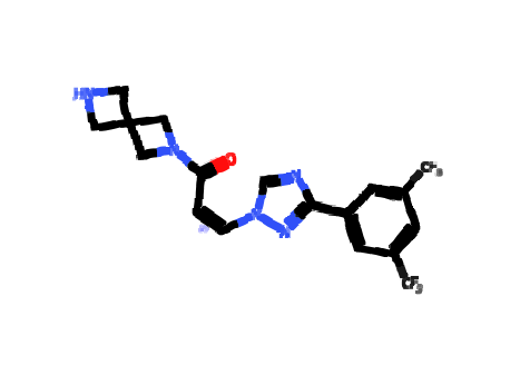 O=C(/C=C\n1cnc(-c2cc(C(F)(F)F)cc(C(F)(F)F)c2)n1)N1CC2(CNC2)C1